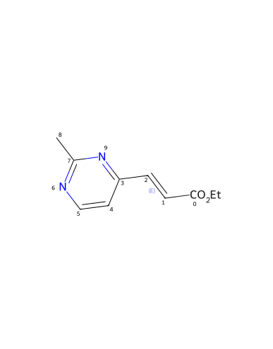 CCOC(=O)/C=C/c1ccnc(C)n1